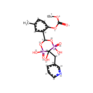 Cc1ccc(OC(=O)OC(C)(C)C)c(C2OP(=O)(O)C(O)(Cc3cccnc3)P(=O)(O)O2)c1